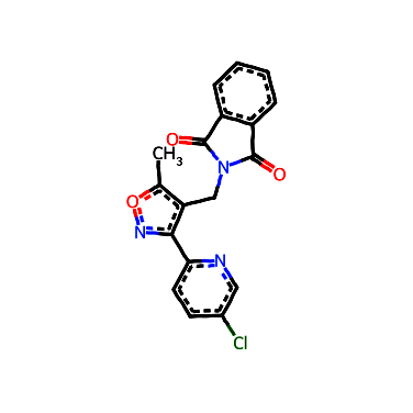 Cc1onc(-c2ccc(Cl)cn2)c1CN1C(=O)c2ccccc2C1=O